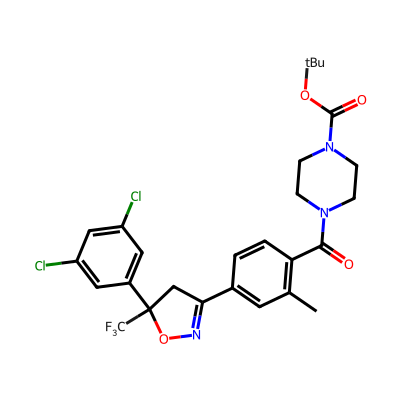 Cc1cc(C2=NOC(c3cc(Cl)cc(Cl)c3)(C(F)(F)F)C2)ccc1C(=O)N1CCN(C(=O)OC(C)(C)C)CC1